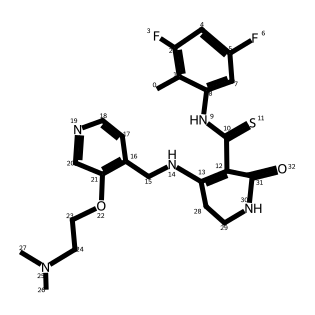 Cc1c(F)cc(F)cc1NC(=S)C1=C(NCc2ccncc2OCCN(C)C)CCNC1=O